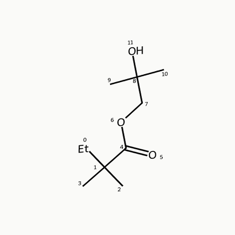 CCC(C)(C)C(=O)OCC(C)(C)O